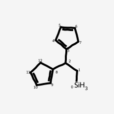 [SiH3]CC(C1=CC=CC1)C1=CC=CC1